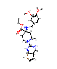 CCOC(=O)C1(NCc2ccc(OC)c(OC)c2)CCN(c2ncc3ccsc3n2)C(C)C1